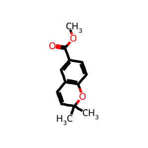 COC(=O)c1ccc2c(c1)C=CC(C)(C)O2